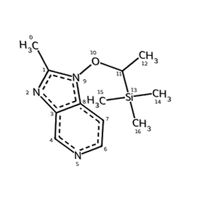 Cc1nc2cnccc2n1OC(C)[Si](C)(C)C